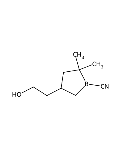 CC1(C)CC(CCO)CB1C#N